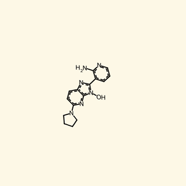 Nc1ncccc1-c1nc2ccc(N3CCCC3)nc2n1O